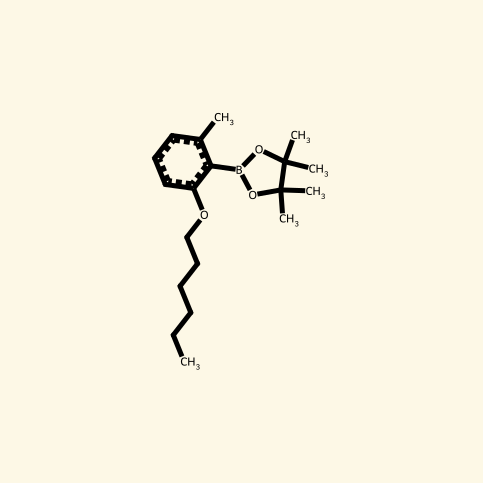 CCCCCCOc1cccc(C)c1B1OC(C)(C)C(C)(C)O1